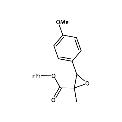 CCCOC(=O)C1(C)OC1c1ccc(OC)cc1